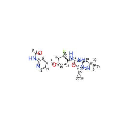 CC(=O)Nc1cc(COc2ccc(NC(=O)Nc3cc(C(C)(C)C)nn3CC3CC3)c(F)c2)ccn1